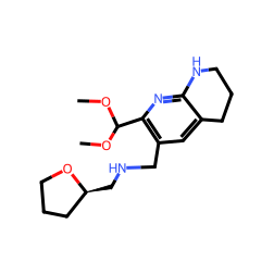 COC(OC)c1nc2c(cc1CNC[C@H]1CCCO1)CCCN2